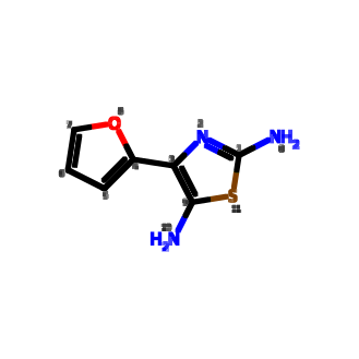 Nc1nc(-c2ccco2)c(N)s1